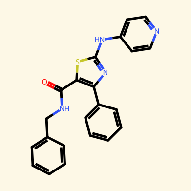 O=C(NCc1ccccc1)c1sc(Nc2ccncc2)nc1-c1ccccc1